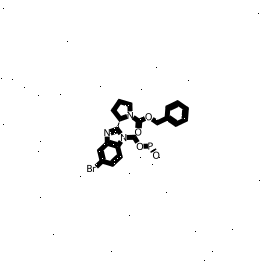 O=POCn1c([C@@H]2CCCN2C(=O)OCc2ccccc2)nc2cc(Br)ccc21